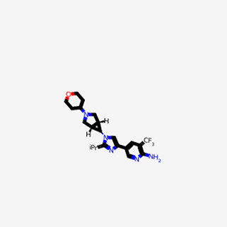 CC(C)c1nc(-c2cnc(N)c(C(F)(F)F)c2)cn1[C@@H]1[C@@H]2CN(C3CCOCC3)C[C@@H]21